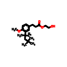 COc1ccc(CCC(=O)OCCO)cc1C(C)(C)CC(C)(C)C